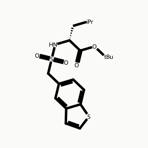 CC(C)C[C@@H](NS(=O)(=O)Cc1ccc2sccc2c1)C(=O)OC(C)(C)C